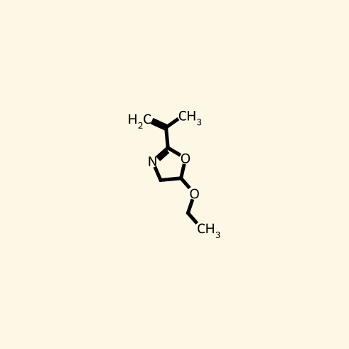 C=C(C)C1=NCC(OCC)O1